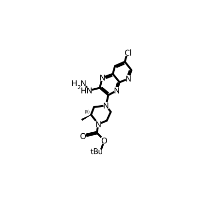 C[C@H]1CN(c2nc3ncc(Cl)cc3nc2NN)CCN1C(=O)OC(C)(C)C